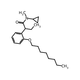 CCCCCCCCOc1ccccc1C(CC)C(=O)N(C)C1CC1